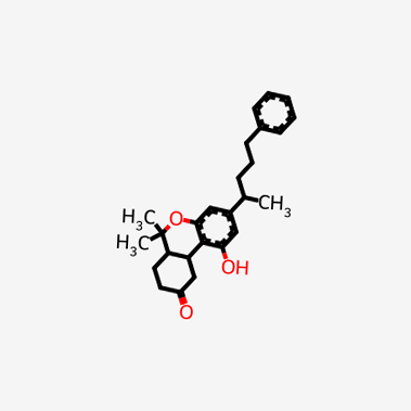 CC(CCCc1ccccc1)c1cc(O)c2c(c1)OC(C)(C)C1CCC(=O)CC21